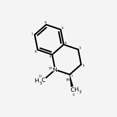 C[C@@H]1CCc2ccccc2N1C